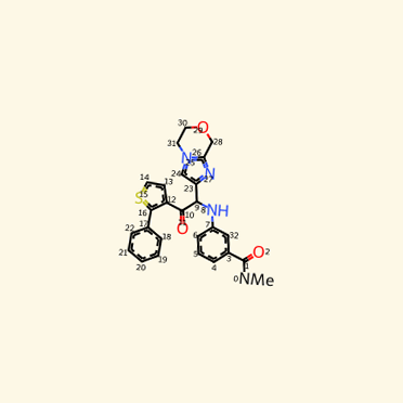 CNC(=O)c1cccc(NC(C(=O)c2ccsc2-c2ccccc2)c2cn3c(n2)COCC3)c1